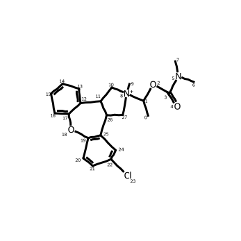 CC(OC(=O)N(C)C)[N+]1(C)CC2c3ccccc3Oc3ccc(Cl)cc3C2C1